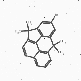 CC1(C)c2cc(Br)cc3c2-c2c1ccc1cccc(c21)C3(C)C